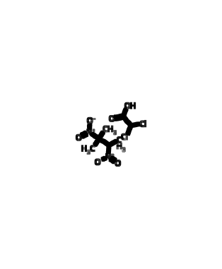 CC([N+](=O)[O-])C(C)(C)[N+](=O)[O-].O=C(O)C(Cl)Cl